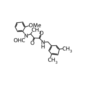 COc1ccccc1N(C=O)C(C)C(=O)C(=O)NCc1cc(C)cc(C)c1